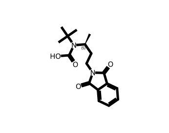 C[C@@H](CCN1C(=O)c2ccccc2C1=O)N(C(=O)O)C(C)(C)C